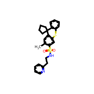 Cc1cc2c(cc1S(=O)(=O)NCCc1ccccn1)Sc1ccccc1C21CCCC1